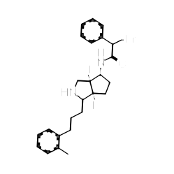 Cc1ccccc1CCCC1NC[C@@H]2[C@@H](NC(=O)C(c3ccccc3)C(C)C)CC[C@H]12